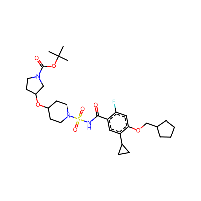 CC(C)(C)OC(=O)N1CCC(OC2CCN(S(=O)(=O)NC(=O)c3cc(C4CC4)c(OCC4CCCC4)cc3F)CC2)C1